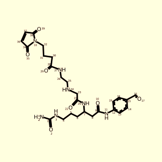 NC(=O)NCCCC(CC(=O)Nc1ccc(C=O)cc1)NC(=O)CNCCNC(=O)CCCN1C(=O)C=CC1=O